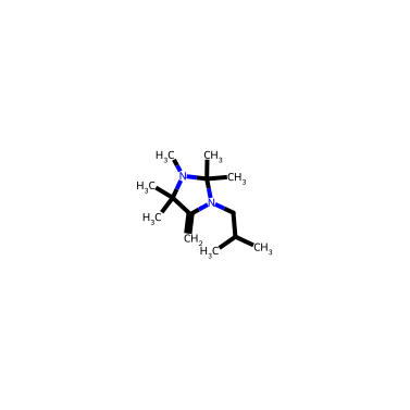 C=C1N(CC(C)C)C(C)(C)N(C)C1(C)C